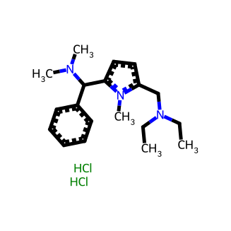 CCN(CC)Cc1ccc(C(c2ccccc2)N(C)C)n1C.Cl.Cl